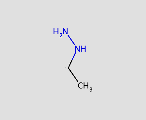 C[CH]NN